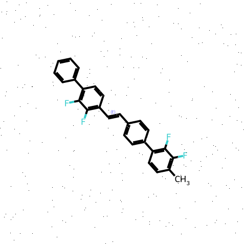 Cc1ccc(-c2ccc(/C=C/c3ccc(-c4ccccc4)c(F)c3F)cc2)c(F)c1F